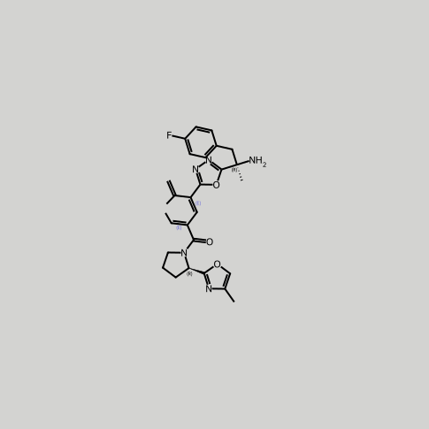 C=C(C)/C(=C\C(=C/C)C(=O)N1CCC[C@@H]1c1nc(C)co1)c1nnc([C@](C)(N)Cc2ccc(F)cc2)o1